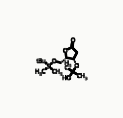 CC(C)(O)O[C@H]1CC(=O)O[C@H]1CO[Si](C)(C)C(C)(C)C